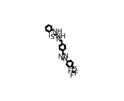 FC(F)(F)Oc1ccc(-n2cnc(-c3ccc(/C=N/NC(=S)Nc4ccccc4I)cc3)n2)cc1